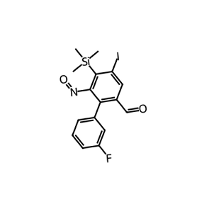 C[Si](C)(C)c1c(I)cc(C=O)c(-c2cccc(F)c2)c1N=O